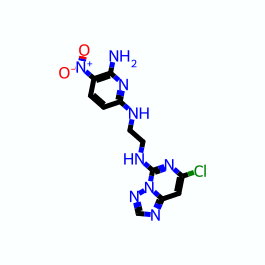 Nc1nc(NCCNc2nc(Cl)cc3ncnn23)ccc1[N+](=O)[O-]